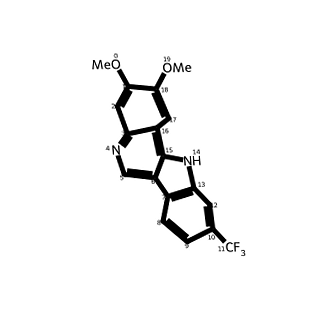 COc1cc2ncc3c4ccc(C(F)(F)F)cc4[nH]c3c2cc1OC